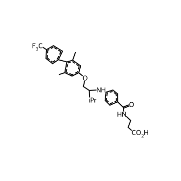 Cc1cc(OCC(Nc2ccc(C(=O)NCCC(=O)O)cc2)C(C)C)cc(C)c1-c1ccc(C(F)(F)F)cc1